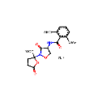 COc1cccc(OC)c1C(=O)N[C@H]1CON(C2(C(=O)[O-])CCC(=O)O2)C1=O.[Na+]